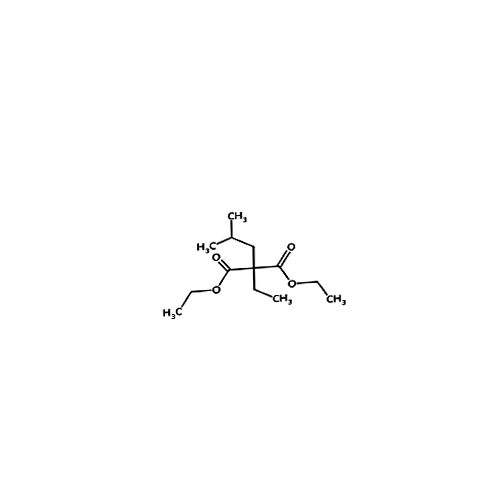 CCOC(=O)C(CC)(CC(C)C)C(=O)OCC